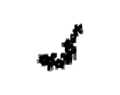 C[Si](C)(C)CCOCn1ccc2nc(NC(=O)NC3CCC(N4C(=O)c5ccccc5C4=O)C3)cnc21